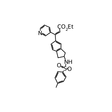 CCOC(=O)C=C(c1cccnc1)c1ccc2c(c1)CC(NS(=O)(=O)c1ccc(C)cc1)C2